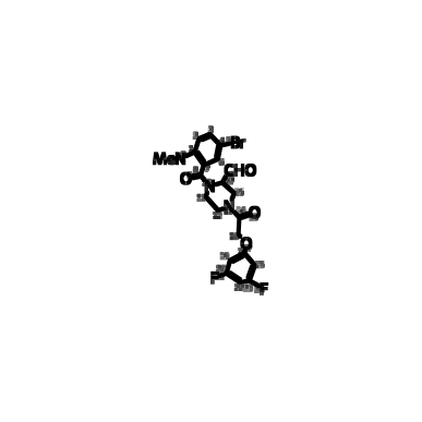 CNc1ccc(Br)cc1C(=O)N1CCN(C(=O)COc2cc(F)cc(F)c2)CC1C=O